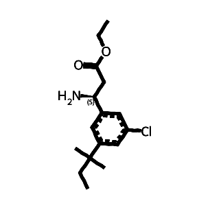 CCOC(=O)C[C@H](N)c1cc(Cl)cc(C(C)(C)CC)c1